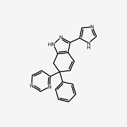 C1=CC(c2ccccc2)(c2ccncn2)Cc2[nH]nc(-c3cnc[nH]3)c21